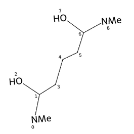 CNC(O)CCCC(O)NC